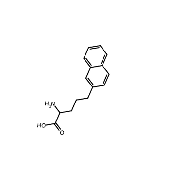 NC(CCCc1ccc2ccccc2c1)C(=O)O